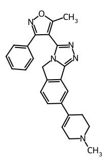 Cc1onc(-c2ccccc2)c1-c1nnc2n1Cc1ccc(C3=CCN(C)CC3)cc1-2